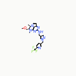 COC[C@H]1[C@@H](C)n2ccc3nc(NCc4cnn(Cc5ccc(C(F)(F)F)nc5)c4)nc(c32)N1C